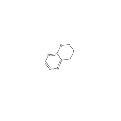 c1cnc2c(n1)CCCS2